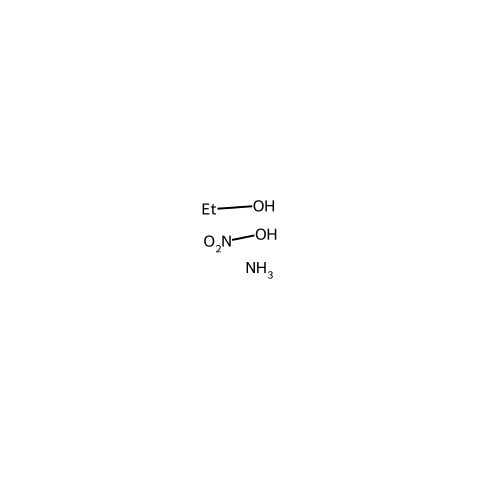 CCO.N.O=[N+]([O-])O